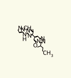 CCCC1COc2cc(-c3ccnc(Nc4ccnn4C)n3)cc3nnc1n23